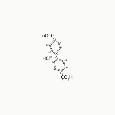 CCCCCCCCc1ccc(-c2ccc(C(=O)O)cc2)cc1.Cl